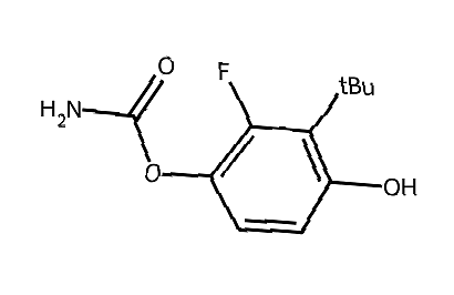 CC(C)(C)c1c(O)ccc(OC(N)=O)c1F